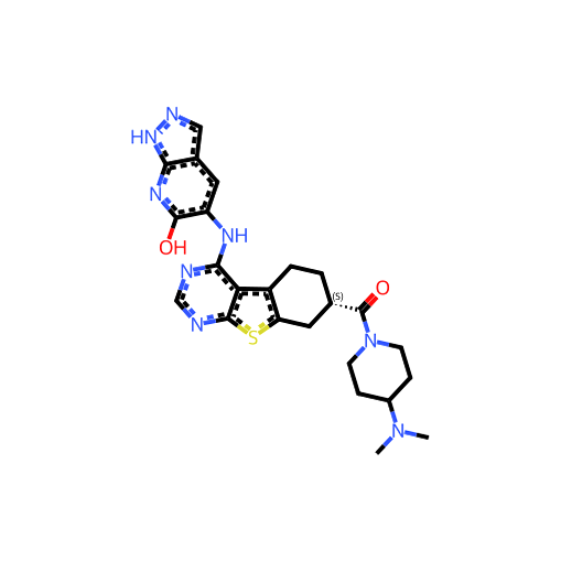 CN(C)C1CCN(C(=O)[C@H]2CCc3c(sc4ncnc(Nc5cc6cn[nH]c6nc5O)c34)C2)CC1